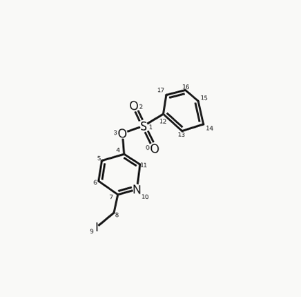 O=S(=O)(Oc1ccc(CI)nc1)c1ccccc1